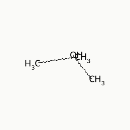 CCCCCCCCCCCCCCCCCCCC(O)C(C)CCCCCCCCCCCCCC